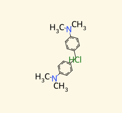 CN(C)c1ccc(Cc2ccc(N(C)C)cc2)cc1.Cl